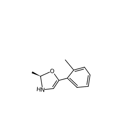 Cc1ccccc1C1=CN[C@@H](C)O1